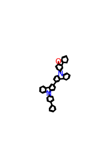 C1=CCC2C(=C1)N(c1ccc3oc4c(c3c1)CCC=C4)c1ccc(-c3ccc4c(c3)c3ccccc3n4-c3ccc(-c4ccccc4)cc3)cc12